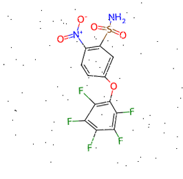 NS(=O)(=O)c1cc(Oc2c(F)c(F)c(F)c(F)c2F)ccc1[N+](=O)[O-]